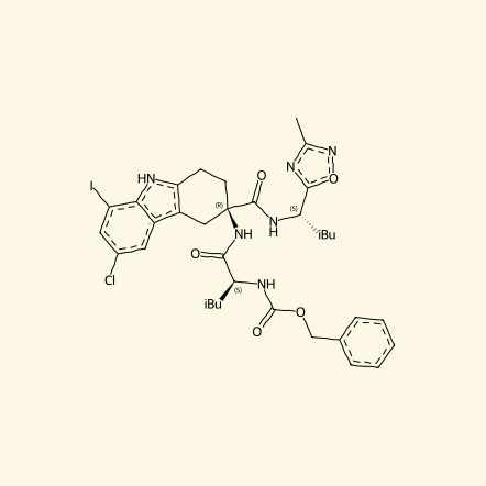 CCC(C)[C@H](NC(=O)OCc1ccccc1)C(=O)N[C@]1(C(=O)N[C@H](c2nc(C)no2)C(C)CC)CCc2[nH]c3c(I)cc(Cl)cc3c2C1